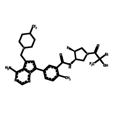 CCC(O)(C(=O)N1C[C@H](F)[C@H](NC(=O)c2cc(-c3cc(CN4CCC(C(F)(F)F)CC4)c4c(N)ncnn34)ccc2C)C1)C(F)(F)F